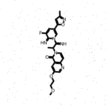 COCCOc1cnc2ccn(C(C)C(=N)n3cc(-c4cc(C)no4)cc(F)c3=N)c(=O)c2c1